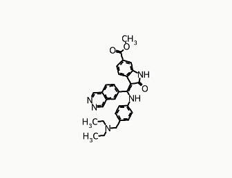 CCN(CC)Cc1ccc(N/C(=C2\C(=O)Nc3cc(C(=O)OC)ccc32)c2ccc3cnncc3c2)cc1